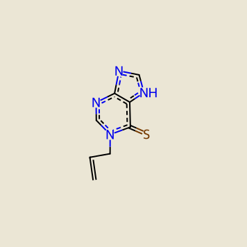 C=CCn1cnc2nc[nH]c2c1=S